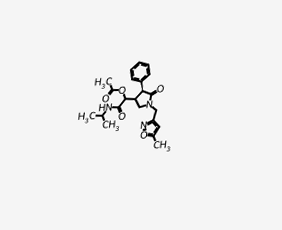 CC(=O)OC(C(=O)NC(C)C)C1CN(Cc2cc(C)on2)C(=O)[C@@H]1c1ccccc1